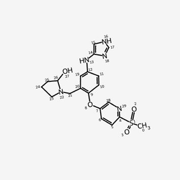 CS(=O)(=O)c1ccc(Oc2ccc(Nc3c[nH]cn3)cc2CN2CCCC2O)cn1